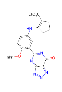 CCCOc1ccc(NC2=C(C(=O)OCC)CCC2)cc1C1=NC(=O)C2=NN=NC2=N1